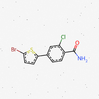 NC(=O)c1ccc(-c2ccc(Br)s2)cc1Cl